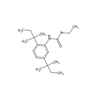 CC[N]C(=O)Nc1cc(C(C)(C)CC)ccc1C(C)(C)CC